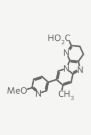 COc1ccc(-c2cn3c4c(nc3cc2C)CCC(C(=O)O)=N4)cn1